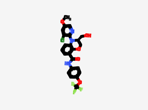 COc1cnc(N2c3cccc(C(=O)Nc4ccc(OC(F)(F)F)cc4)c3OC[C@@H]2CO)c(Cl)c1